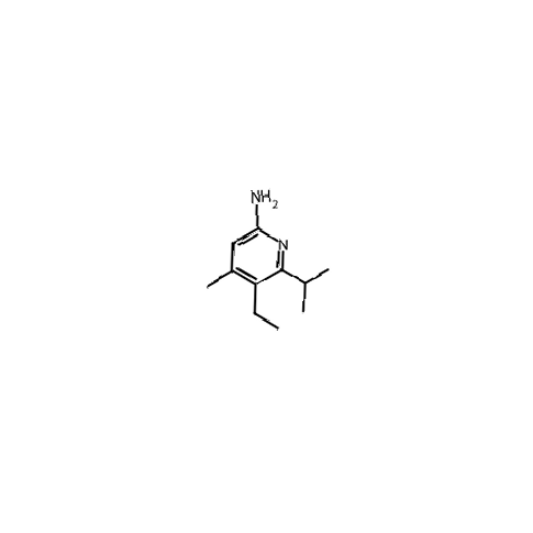 CCc1c(C)cc(N)nc1C(C)C